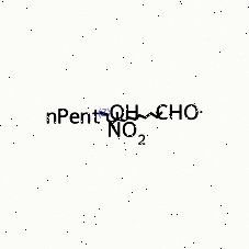 CCCCC/C=C\CC(C(O)CCCCCCC[C]=O)[N+](=O)[O-]